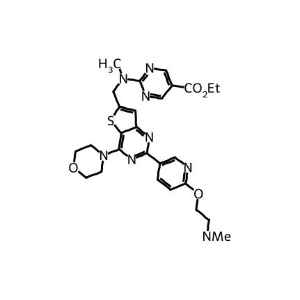 CCOC(=O)c1cnc(N(C)Cc2cc3nc(-c4ccc(OCCNC)nc4)nc(N4CCOCC4)c3s2)nc1